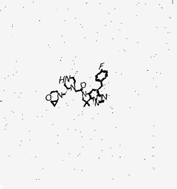 C[C@@H]1CN(CC(=O)N2CC(C)(C)c3c2cc(Cc2ccc(F)cc2)c2ncnn32)[C@H](CN2CCOC3CC32)CN1